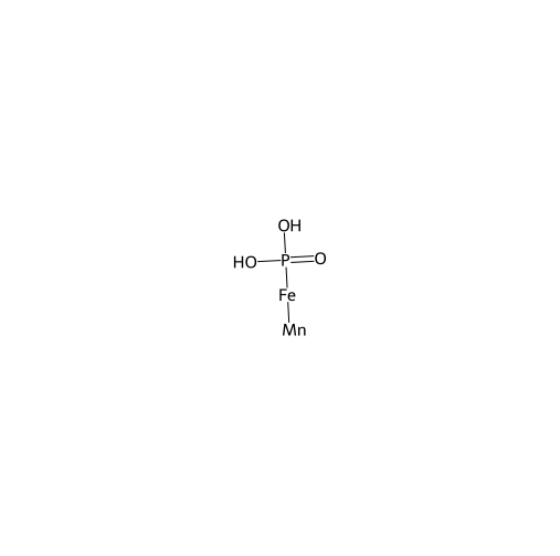 O=[P](O)(O)[Fe][Mn]